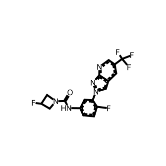 O=C(Nc1ccc(F)c(-n2cc3cc(C(F)(F)F)cnc3n2)c1)N1CC(F)C1